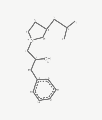 C[C](C)CC1CCN(CC(O)Cc2ccccc2)C1